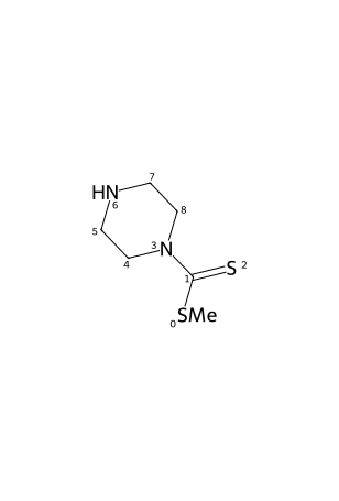 CSC(=S)N1CCNCC1